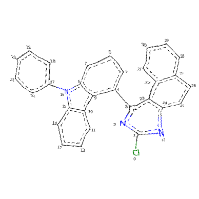 Clc1nc(-c2cccc3c2c2ccccc2n3-c2ccccc2)c2c(ccc3ccccc32)n1